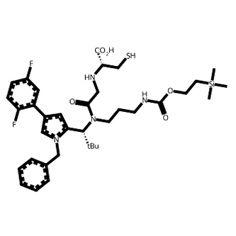 CC(C)(C)[C@H](c1cc(-c2cc(F)ccc2F)cn1Cc1ccccc1)N(CCCNC(=O)OCC[Si](C)(C)C)C(=O)CN[C@@H](CS)C(=O)O